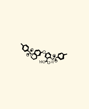 Cc1ccc(S(=O)(=O)Nc2ccc(Oc3ccc4c(c3)CCCN4S(=O)(=O)c3ccc(C)cc3)cc2C(=O)O)cc1